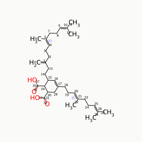 C=C(CC/C=C(\C)CCC=C(C)C)CCC1C=C(CC/C=C(\C)CCC=C(C)C)CC(C(=O)O)C1C(=O)O